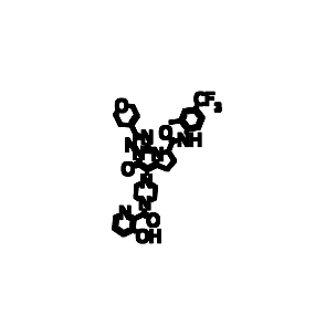 Cc1cc(C(F)(F)F)ccc1NC(=O)C1CCc2c(N3CCN(C(=O)c4ncccc4O)CC3)c(=O)n3nc(C4=CCOCC4)nc3n21